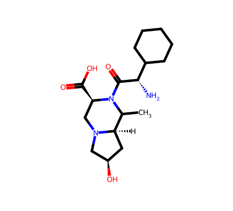 CC1[C@H]2C[C@@H](O)CN2C[C@@H](C(=O)O)N1C(=O)[C@@H](N)C1CCCCC1